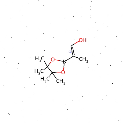 C/C(=C\O)B1OC(C)(C)C(C)(C)O1